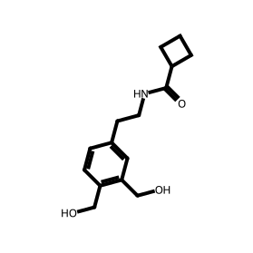 O=C(NCCc1ccc(CO)c(CO)c1)C1CCC1